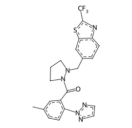 Cc1ccc(-n2nccn2)c(C(=O)N2CCCN2Cc2ccc3nc(C(F)(F)F)sc3c2)c1